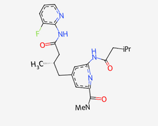 CNC(=O)c1cc(C[C@H](C)CC(=O)Nc2ncccc2F)cc(NC(=O)CC(C)C)n1